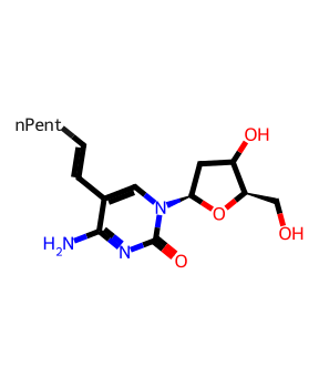 CCCCCC=Cc1cn([C@H]2CC(O)[C@@H](CO)O2)c(=O)nc1N